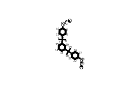 CC(C)(c1ccc(N=C=O)cc1)c1cccc(C(C)(C)c2ccc(N=C=O)cc2)c1